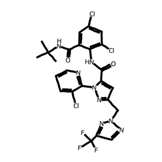 CC(C)(C)NC(=O)c1cc(Cl)cc(Cl)c1NC(=O)c1cc(Cn2ncc(C(F)(F)F)n2)nn1-c1ncccc1Cl